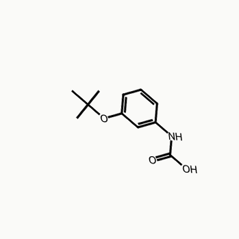 CC(C)(C)Oc1cccc(NC(=O)O)c1